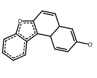 ClC1=CC2C=Cc3oc4ccccc4c3C2C=C1